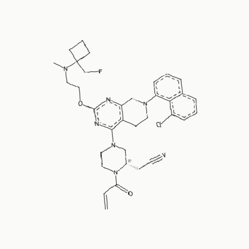 C=CC(=O)N1CCN(c2nc(OCCN(C)C3(CF)CCC3)nc3c2CCN(c2cccc4cccc(Cl)c24)C3)C[C@@H]1CC#N